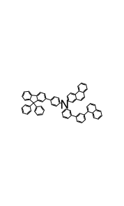 c1ccc(C2(c3ccccc3)c3ccccc3-c3ccc(-c4ccc(N(c5cccc(-c6cccc(-c7cccc8ccccc78)c6)c5)c5ccc6c(ccc7ccccc76)c5)cc4)cc32)cc1